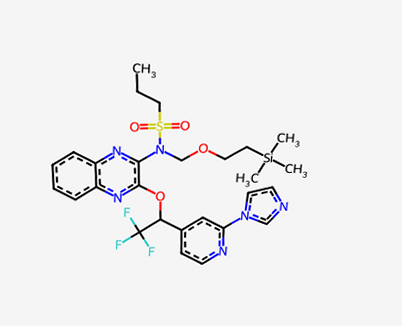 CCCS(=O)(=O)N(COCC[Si](C)(C)C)c1nc2ccccc2nc1OC(c1ccnc(-n2ccnc2)c1)C(F)(F)F